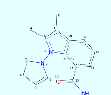 Cc1c(C)n(N2C=CCC2)c2c(C(N)=O)cccc12